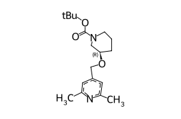 Cc1cc(CO[C@@H]2CCCN(C(=O)OC(C)(C)C)C2)cc(C)n1